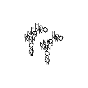 CN1CCN(C2CCC(n3nc(-c4ccc(Nc5nc6ccccc6o5)c(F)c4)c4c(N)ncnc43)CC2)CC1.CN1CCN(C2CCC(n3nc(-c4ccc(Nc5nc6ccccc6o5)cc4)c4c(N)ncnc43)CC2)CC1